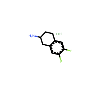 Cl.NC1CCc2cc(F)c(F)cc2C1